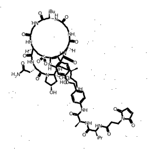 CC[C@H](C)[C@@H]1NC(=O)CNC(=O)[C@@H]2Cc3c([nH]c4cc(OCc5ccc(NC(=O)[C@H](C)NC(=O)[C@@H](NC(=O)CCN6C(=O)C=CC6=O)C(C)C)cc5)ccc34)S(=O)(=O)C[C@H](NC(=O)CNC1=O)C(=O)N[C@@H](CC(N)=O)C(=O)N1C[C@H](O)C[C@]1(C=O)N[C@@H]([C@@H](C)[C@@H](O)CO)C(=O)N2